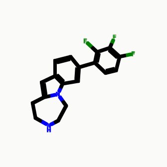 Fc1ccc(-c2ccc3cc4n(c3c2)CCNCC4)c(F)c1F